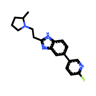 CC1CCCN1CCc1nc2cc(-c3ccc(F)nc3)ccc2[nH]1